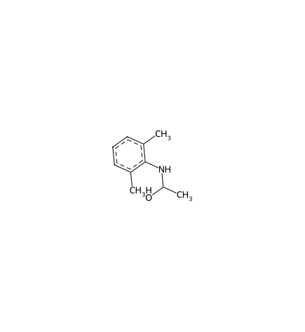 Cc1cccc(C)c1NC(C)O